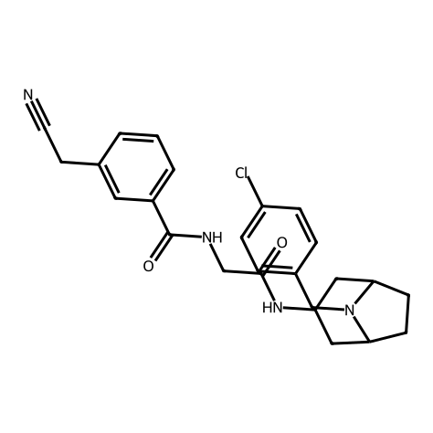 N#CCc1cccc(C(=O)NCC(=O)NC2CC3CCC(C2)N3Cc2ccc(Cl)cc2)c1